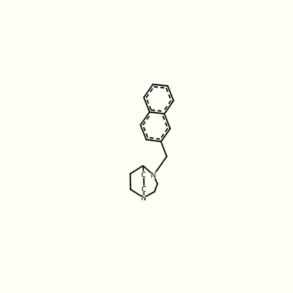 c1ccc2cc(CN3CCN4CCC3CC4)ccc2c1